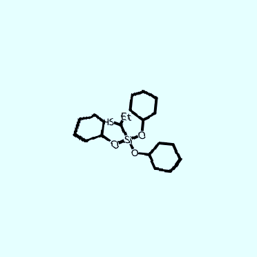 CCC(S)[Si](OC1CCCCC1)(OC1CCCCC1)OC1CCCCC1